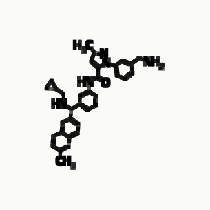 Cc1ccc2cc(C(NCC3CC3)c3cccc(NC(=O)c4cc(C)nn4-c4cccc(CN)c4)c3)ccc2c1